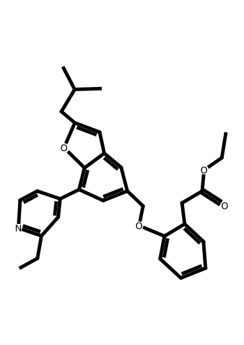 CCOC(=O)Cc1ccccc1OCc1cc(-c2ccnc(CC)c2)c2oc(CC(C)C)cc2c1